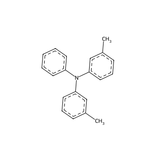 Cc1cccc(N(c2ccccc2)c2cccc(C)c2)c1